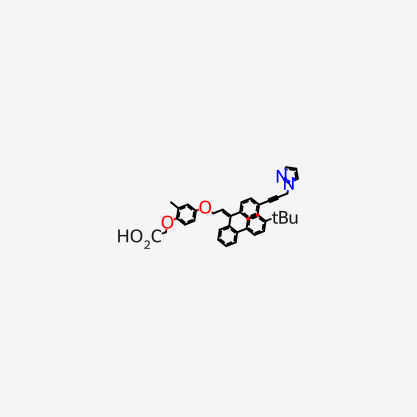 Cc1cc(OCC=C(c2ccc(C#CCn3cccn3)cc2)c2ccccc2-c2ccc(C(C)(C)C)cc2)ccc1OCC(=O)O